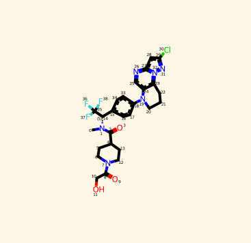 CN(C(=O)C1CCN(C(=O)CO)CC1)[C@@H](c1ccc(N2CCCc3c2cnc2cc(Cl)nn32)cc1)C(F)(F)F